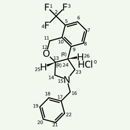 Cl.FC(F)(F)c1cccc2c1CO[C@H]1CN(Cc3ccccc3)C[C@@H]21